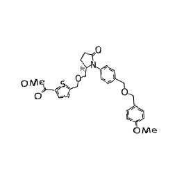 COC(=O)c1ccc(COC[C@H]2CCC(=O)N2c2ccc(COCc3ccc(OC)cc3)cc2)s1